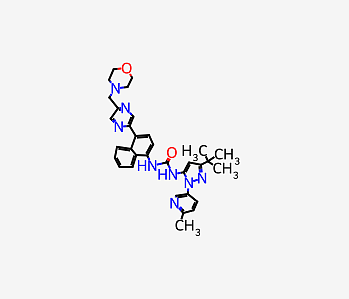 Cc1ccc(-n2nc(C(C)(C)C)cc2NC(=O)Nc2ccc(-c3cnc(CN4CCOCC4)cn3)c3ccccc23)cn1